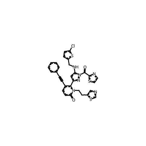 O=C(c1nccs1)n1nc(-c2c(C#Cc3ccccc3)ccc(=O)n2CCc2cncs2)cc1NCc1ccc(Cl)s1